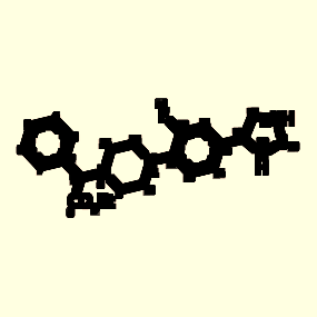 CCOC(=O)C(c1ccccc1)N1CCN(c2ccc(C3CNSN3)cc2F)CC1